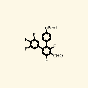 CCCCCc1ccc(-c2c(-c3cc(F)c(F)c(F)c3)cc(F)c(C=O)c2F)cc1